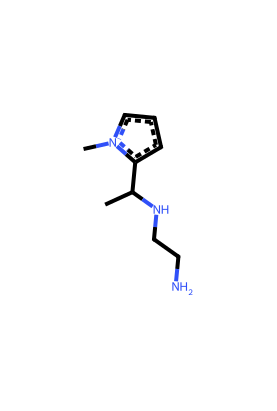 CC(NCCN)c1cccn1C